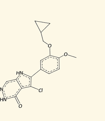 COc1ccc(-c2[nH]c3cn[nH]c(=O)c3c2Cl)cc1OCC1CC1